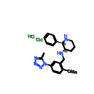 COc1ccc(-n2nnnc2C)cc1CN[C@H]1CCCN[C@H]1c1ccccc1.Cl.Cl